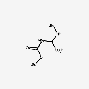 CC(C)(C)NC(NC(=O)OC(C)(C)C)C(=O)O